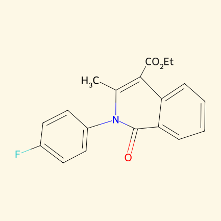 CCOC(=O)c1c(C)n(-c2ccc(F)cc2)c(=O)c2ccccc12